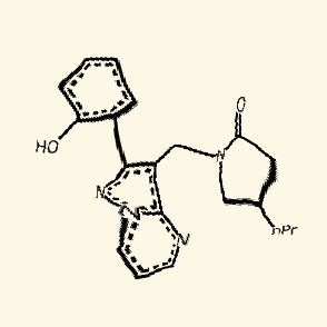 CCCC1CC(=O)N(Cc2c(-c3ccccc3O)nn3cccnc23)C1